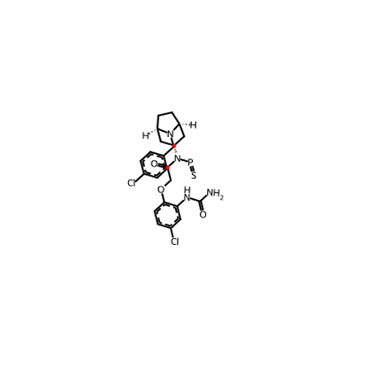 NC(=O)Nc1cc(Cl)ccc1OCC(=O)N(P=S)[C@@H]1C[C@H]2CC[C@@H](C1)N2Cc1ccc(Cl)cc1